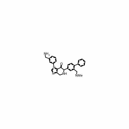 CNCc1cc(C2NCc3ncn(-c4cccc(CN)c4)c3C2=O)ccc1-c1ccccc1